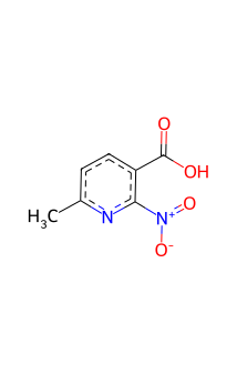 Cc1ccc(C(=O)O)c([N+](=O)[O-])n1